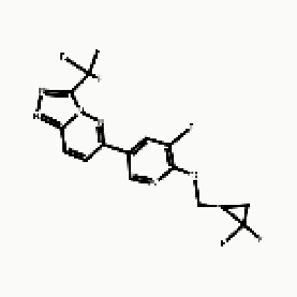 CC(F)(F)c1nnc2ccc(-c3cnc(OC[C@H]4CC4(F)F)c(F)c3)nn12